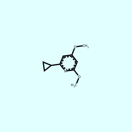 COc1cc(OC)nc(C2CC2)c1